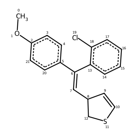 COc1ccc(C(=CC2C=CSC2)c2ccccc2Cl)cc1